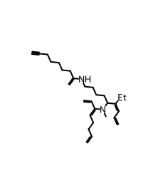 C#CCCCCCC(=C)NCCCCC(/C(=C\C=C)CC)N(C)/C(C=C)=C\CCC=C